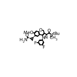 COc1cc2c(cc1[C@H]1C[C@H]1C(N)=O)-c1c(c(C(=O)N(C)C(C)(C)C)nn1-c1cc(F)cc(F)c1)CO2